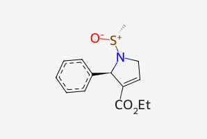 CCOC(=O)C1=CCN([S@@+](C)[O-])[C@@H]1c1ccccc1